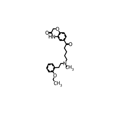 CCOc1ccccc1CCN(C)CCCCC(=O)c1ccc2c(c1)NC(=O)CO2